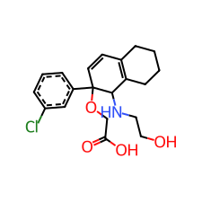 O=C(O)COC1(c2cccc(Cl)c2)C=CC2=C(CCCC2)C1NCCO